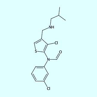 CC(C)CNCc1csc(N(C=O)c2cccc(Cl)c2)c1Cl